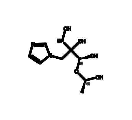 C[C@H](O)O[P@](O)C(O)(Cn1ccnc1)PO